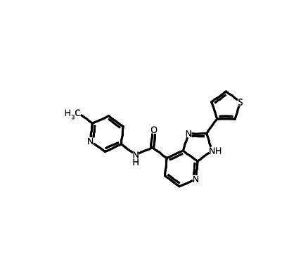 Cc1ccc(NC(=O)c2ccnc3[nH]c(-c4ccsc4)nc23)cn1